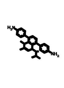 CC1=CC(C(C)C(C)C)c2c(-c3ccc(N)cc3)ccc(-c3ccc(N)cc3)c2C1C